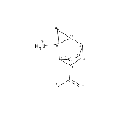 C=C(C)C1CC2CCC1C1(N)CC21